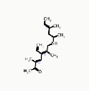 C=CC(/C=C(\C)C(C)=O)=C(/C)CNC(C)C/C(C)=C/C